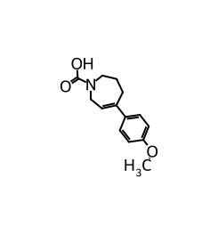 COc1ccc(C2=CCN(C(=O)O)CCC2)cc1